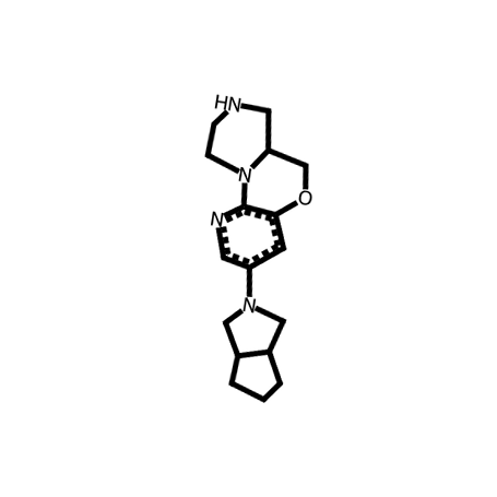 c1nc2c(cc1N1CC3CCCC3C1)OCC1CNCCN21